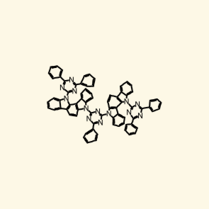 c1ccc(-c2nc(-n3c4ccccc4c4c3ccc3c5ccccc5n(-c5nc(-c6ccccc6)nc(-c6ccccc6)n5)c34)nc(-n3c4ccccc4c4c3ccc3c5ccccc5n(-c5nc(-c6ccccc6)nc(-c6ccccc6)n5)c34)n2)cc1